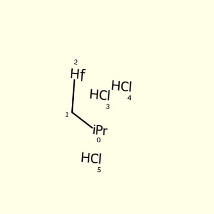 CC(C)[CH2][Hf].Cl.Cl.Cl